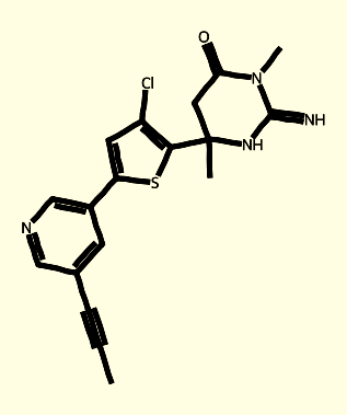 CC#Cc1cncc(-c2cc(Cl)c(C3(C)CC(=O)N(C)C(=N)N3)s2)c1